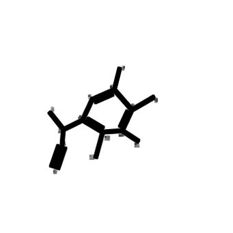 [C]#CC(C)c1cc(C)c(C)c(C)c1C